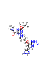 Cn1cnc(-c2cnc(N)c(OCC3CCN(c4nc(OCC5(C#N)CC5)nc(C(=O)N5CCC5)n4)CC3)c2)c1